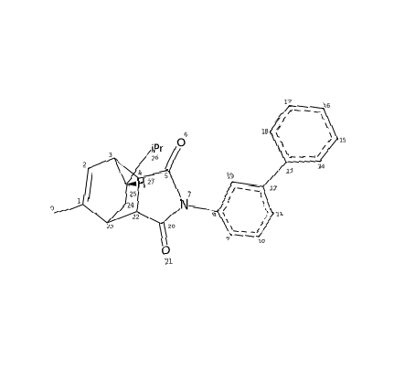 CC1=CC2C3C(=O)N(c4cccc(-c5ccccc5)c4)C(=O)C3C1C[C@H]2C(C)C